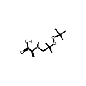 C=C(C(=O)O)C(C)CC(C)(C)OOC(C)(C)C